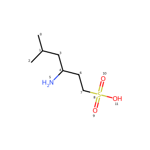 CC(C)CC(N)CCS(=O)(=O)O